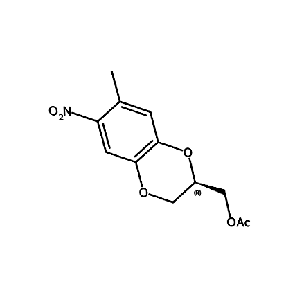 CC(=O)OC[C@H]1COc2cc([N+](=O)[O-])c(C)cc2O1